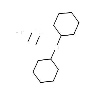 C1CC[CH]([Pd][CH]2CCCCC2)CC1.CC(=O)O.CC(=O)O.P